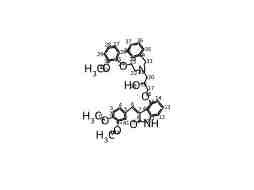 COc1ccc(C=C2C(=O)Nc3cccc(OCC(O)CN(CCOc4ccccc4OC)Cc4ccccc4)c32)cc1OC